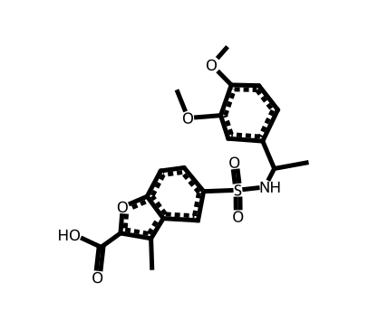 COc1ccc(C(C)NS(=O)(=O)c2ccc3oc(C(=O)O)c(C)c3c2)cc1OC